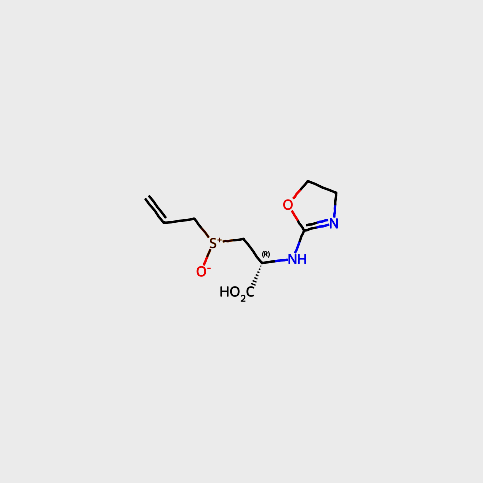 C=CC[S+]([O-])C[C@H](NC1=NCCO1)C(=O)O